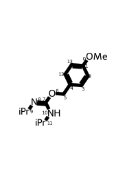 COc1ccc(COC(=NC(C)C)NC(C)C)cc1